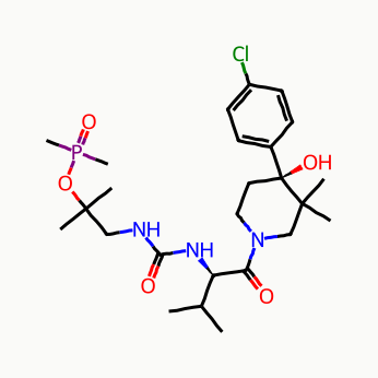 CC(C)[C@@H](NC(=O)NCC(C)(C)OP(C)(C)=O)C(=O)N1CC[C@](O)(c2ccc(Cl)cc2)C(C)(C)C1